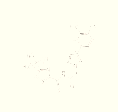 C[C@@H](Cn1ccc(-c2ccc(C#N)c(C(F)(F)F)c2)n1)NC(=O)c1coc(C(C)(C)O)n1